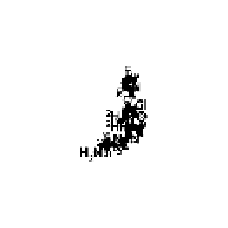 [2H]C([2H])([2H])c1cc(OCc2ncc(F)cc2F)c(Cl)c(=O)n1-c1cc(-c2csc(C(C)(C)CN)n2)ncc1C